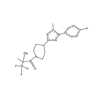 Cc1cc(C2CCN(C(=O)C(C)(O)C(F)(F)F)CC2)nn1-c1ccc(F)cc1